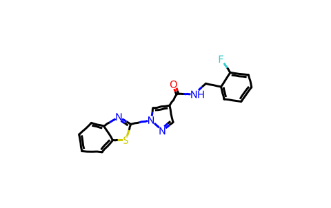 O=C(NCc1ccccc1F)c1cnn(-c2nc3ccccc3s2)c1